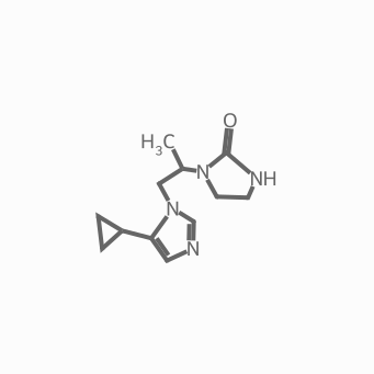 CC(Cn1cncc1C1CC1)N1CCNC1=O